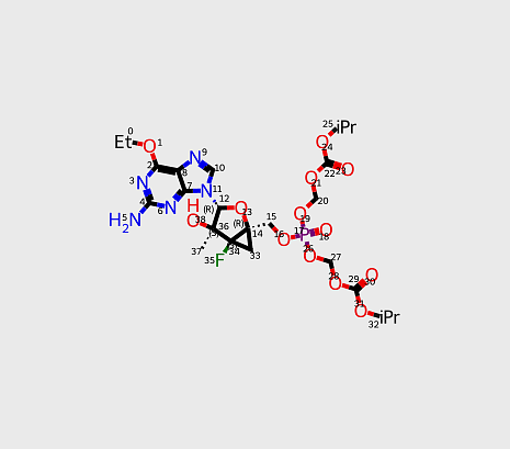 CCOc1nc(N)nc2c1ncn2[C@@H]1O[C@@]2(COP(=O)(OCOC(=O)OC(C)C)OCOC(=O)OC(C)C)C[C@]2(F)[C@@]1(C)O